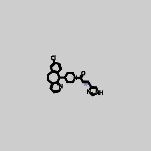 O=C(/C=C/c1c[nH]cn1)N1CCC(C2c3ccc(Cl)cc3CCc3cccnc32)CC1